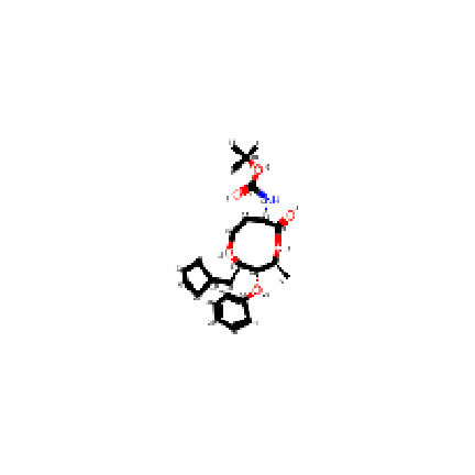 C[C@@H]1OC(=O)[C@@H](NC(=O)OC(C)(C)C)CCO[C@H](CC2CCCC2)[C@H]1Oc1ccccc1